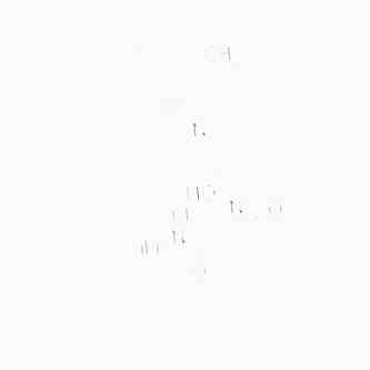 CC(C)N(C)C(=O)c1cn(CC2(O)CCN(C(=O)C[C@@H](C)c3ccccc3)CC2)c(=O)cc1-c1ccccc1